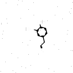 Oc1ccc(CC=S)cc1O